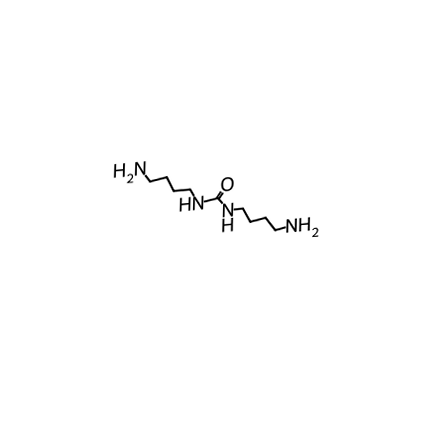 NCCCCNC(=O)NCCCCN